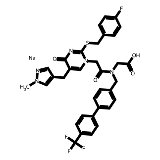 Cn1cc(Cc2cn(CC(=O)N(CC(=O)O)Cc3ccc(-c4ccc(C(F)(F)F)cc4)cc3)c(SCc3ccc(F)cc3)nc2=O)cn1.[Na]